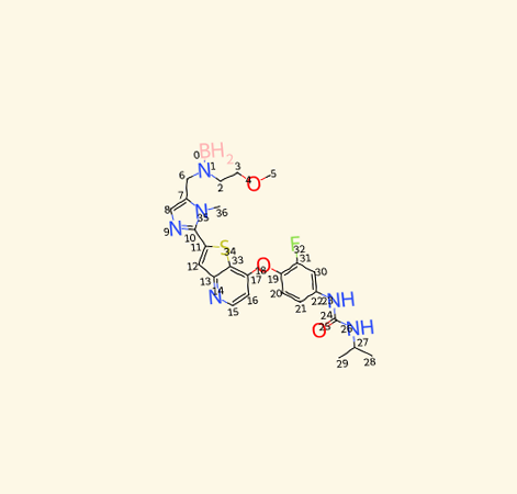 BN(CCOC)Cc1cnc(-c2cc3nccc(Oc4ccc(NC(=O)NC(C)C)cc4F)c3s2)n1C